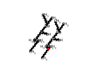 CCCCCCCCCC(OCC)O[Si](C)(C)OCCCCCCN(CCCCO)CCCCCCOC(=O)C(CCCCCC)CCCCCCCC.CCCCCCCCCC(OCC)O[Si](C)(C)OCCCCCCN(CCCCO)CCCCCCOC(=O)C(CCCCCC)CCCCCCCC